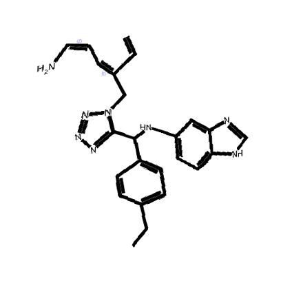 C=C/C(=C\C=C/N)Cn1nnnc1C(Nc1ccc2[nH]cnc2c1)c1ccc(CC)cc1